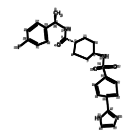 C[C@@H](NC(=O)[C@H]1CC[C@H](NS(=O)(=O)c2ccc(-c3ncc[nH]3)cc2)CC1)c1ccc(F)cc1